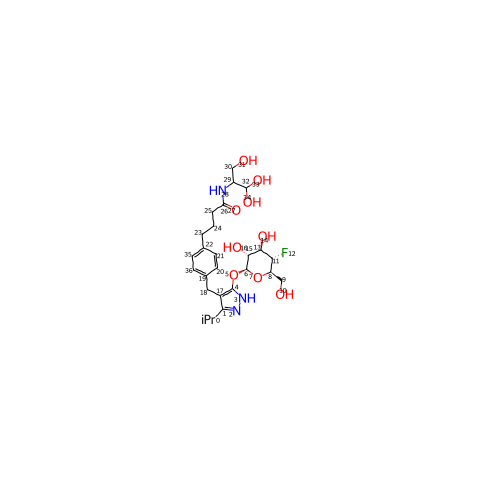 CC(C)c1n[nH]c(O[C@@H]2O[C@H](CO)[C@@H](F)[C@H](O)[C@H]2O)c1Cc1ccc(CCCC(=O)NC(CO)C(O)O)cc1